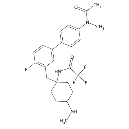 CNC1CCC(Cc2cc(-c3ccc(N(C)C(C)=O)cc3)ccc2F)(NC(=O)C(F)(F)F)CC1